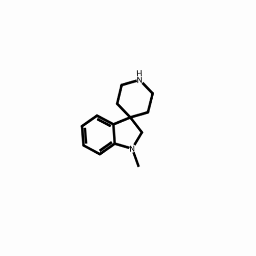 CN1CC2(CCNCC2)c2ccccc21